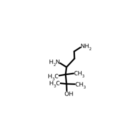 CC(C)(O)C(C)(C)C(N)CCN